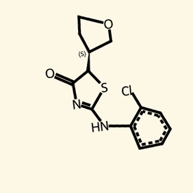 O=C1N=C(Nc2ccccc2Cl)SC1[C@H]1CCOC1